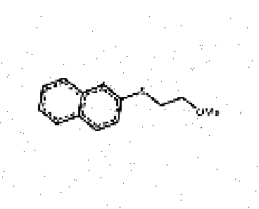 COCCSc1[c]c2ccccc2cc1